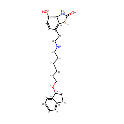 O=c1[nH]c2c(O)ccc(CCNCCCCCCOC3CCc4ccccc43)c2s1